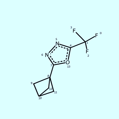 FC(F)(F)c1nnc(C23CC(C2)C3)o1